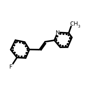 Cc1cccc(/C=C/c2cccc(F)c2)n1